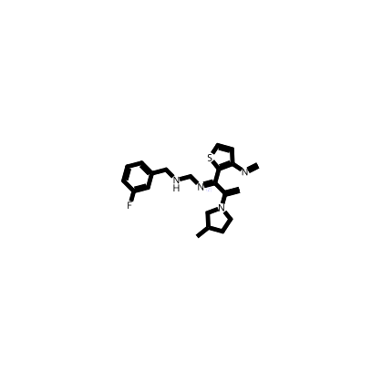 C=Nc1ccsc1/C(=N\CNCc1cccc(F)c1)C(=C)N1CCC(C)C1